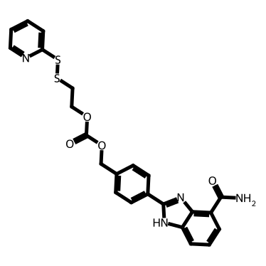 NC(=O)c1cccc2[nH]c(-c3ccc(COC(=O)OCCSSc4ccccn4)cc3)nc12